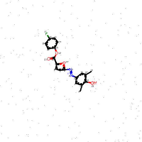 Cc1cc(/N=N/c2ccc(C(=O)Oc3ccc(F)cc3)o2)cc(C)c1O